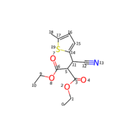 CCOC(=O)C(C(=O)OCC)C(C#N)c1ccc(C)s1